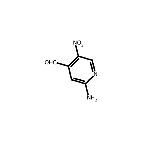 Nc1cc(C=O)c([N+](=O)[O-])cn1